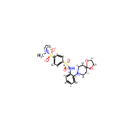 CN(C)S(=O)(=O)c1ccc(S(=O)(=O)Nc2ccccc2N2CCC3(CC2)OCCO3)cc1